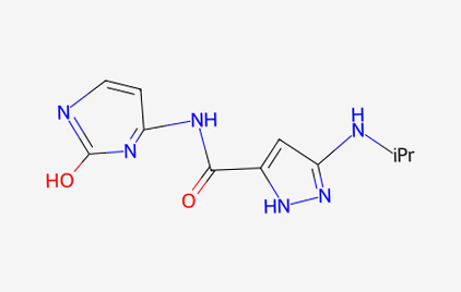 CC(C)Nc1cc(C(=O)Nc2ccnc(O)n2)[nH]n1